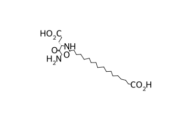 NCC(=O)[C@H](CCC(=O)O)NC(=O)CCCCCCCCCCCCCCCCC(=O)O